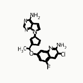 CC(Oc1cc(F)c2cc(Cl)c(N)nc2c1)C1=CC(n2ccc3c(N)ncnc32)CC1